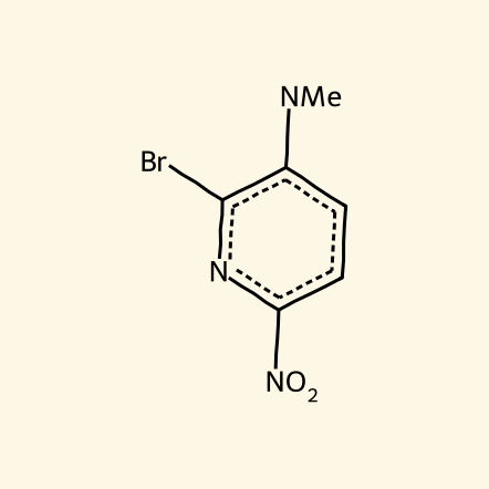 CNc1ccc([N+](=O)[O-])nc1Br